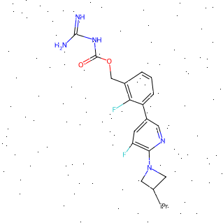 CC(C)C1CN(c2ncc(-c3cccc(COC(=O)NC(=N)N)c3F)cc2F)C1